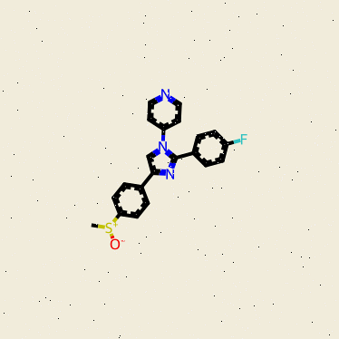 C[S+]([O-])c1ccc(-c2cn(-c3ccncc3)c(-c3ccc(F)cc3)n2)cc1